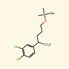 CC(C)(C)[Si](C)(C)OCCCC(C(=O)O)c1ccc(Cl)c(Cl)c1